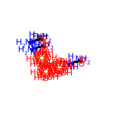 N=C(N)NCCC[C@H](N)C(=O)[O-].N=C(N)NCCC[C@H](N)C(=O)[O-].N=C(N)NCCC[C@H](N)C(=O)[O-].O=P1(O)OP(=O)(O)OP(=O)(O)OP(=O)(O)OP(=O)(O)OP(=O)(O)O1.O=P1(O)OP(=O)(O)OP(=O)(O)OP(=O)(O)OP(=O)(O)OP(=O)(O)O1.O=P1(O)OP(=O)(O)OP(=O)(O)OP(=O)(O)OP(=O)(O)OP(=O)(O)O1.[Fe+3]